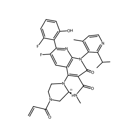 C=CC(=O)N1CCN(c2c(C(=O)NC)c(=O)n(-c3c(C)ccnc3C(C)C)c3nc(-c4c(O)cccc4F)c(F)cc23)[C@@H](C)C1